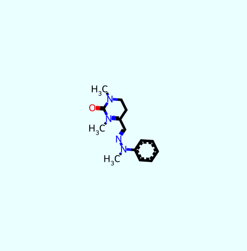 CN1CCC(C=NN(C)c2ccccc2)=[N+](C)C1=O